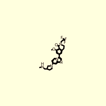 CNCC1CCN(c2ccn3c(-c4cc5c(c(OC)c4)C(=O)N(CC(F)(F)F)CC5)cnc3c2)C1